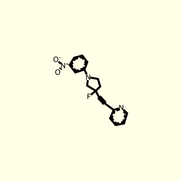 O=[N+]([O-])c1cccc(N2CCC(F)(C#Cc3ccccn3)C2)c1